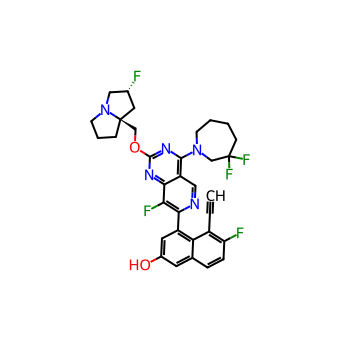 C#Cc1c(F)ccc2cc(O)cc(-c3ncc4c(N5CCCCC(F)(F)C5)nc(OC[C@@]56CCCN5C[C@H](F)C6)nc4c3F)c12